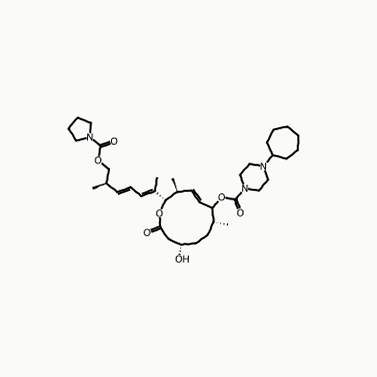 C/C(=C\C=C\[C@@H](C)COC(=O)N1CCCC1)[C@H]1OC(=O)C[C@@H](O)CC[C@@H](C)C(OC(=O)N2CCN(C3CCCCCC3)CC2)/C=C/[C@@H]1C